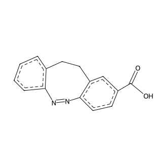 O=C(O)c1ccc2c(c1)CCc1ccccc1N=N2